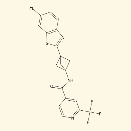 O=C(NC12CC(c3nc4ccc(Cl)cc4s3)(C1)C2)c1ccnc(C(F)(F)F)c1